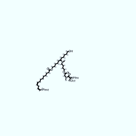 CCCCC/C=C\C/C=C\CCCCCCCC(=O)OCCCCCC(CCCCCO)N(C)CCCCOC(=O)CN(C)C(=O)C(CCCCCC)CCCCCCCC